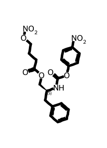 O=C(CCCO[N+](=O)[O-])OC[C@H](Cc1ccccc1)NC(=O)Oc1ccc([N+](=O)[O-])cc1